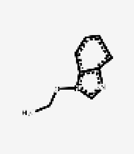 CCOn1cnc2ccccc21